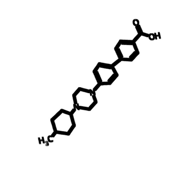 CC1CCC(N2CCN(c3ccc(-c4ccc(C(=O)O)cc4)cc3)CC2)CC1